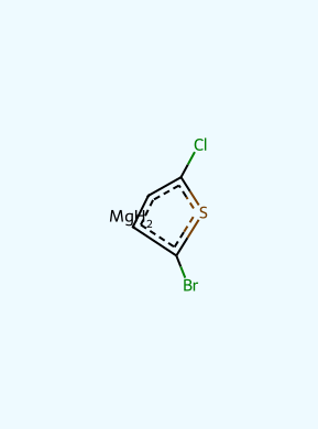 Clc1ccc(Br)s1.[MgH2]